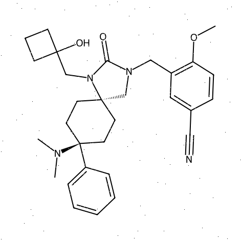 COc1ccc(C#N)cc1CN1C[C@]2(CC[C@](c3ccccc3)(N(C)C)CC2)N(CC2(O)CCC2)C1=O